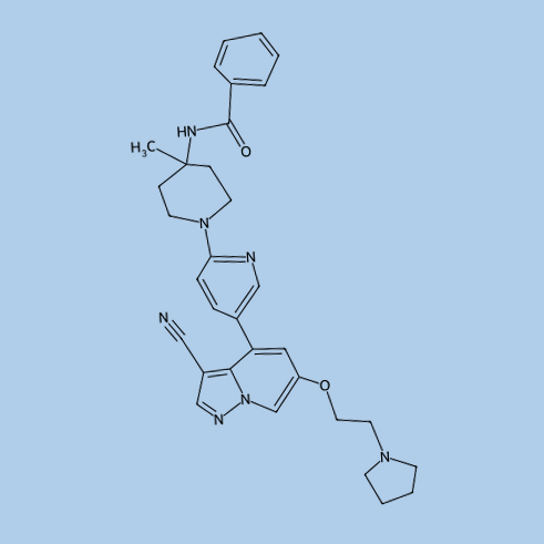 CC1(NC(=O)c2ccccc2)CCN(c2ccc(-c3cc(OCCN4CCCC4)cn4ncc(C#N)c34)cn2)CC1